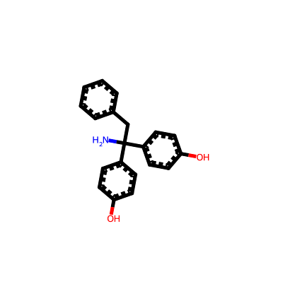 NC(Cc1ccccc1)(c1ccc(O)cc1)c1ccc(O)cc1